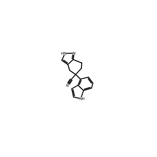 N#CC1(c2cccc3[nH]ccc23)CCc2n[nH]cc2C1